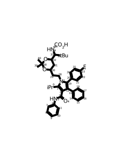 CC(C)c1c(C(=O)Nc2ccccc2)c(-c2ccccc2)c(-c2ccc(F)cc2)n1CCC1CC(C(NC(=O)O)C(C)(C)C)OC(C)(C)O1